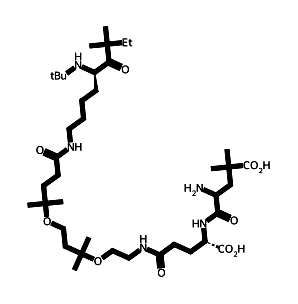 CCC(C)(C)C(=O)[C@@H](CCCCNC(=O)CCC(C)(C)OCCC(C)(C)OCCNC(=O)CC[C@H](NC(=O)C(N)CC(C)(C)C(=O)O)C(=O)O)NC(C)(C)C